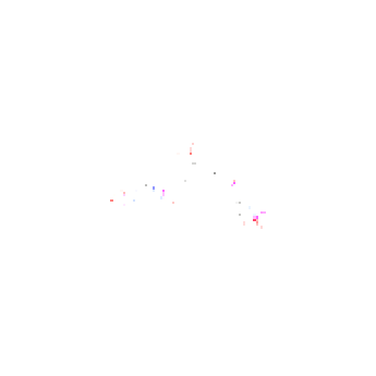 COC(=O)c1cc(C#CCOC(=O)N(C)Cc2cccc(NC(=O)OC(C)(C)C)c2)cc(C#CCOC(=O)N(C)Cc2cccc(NC(=O)OC(C)(C)C)c2)c1